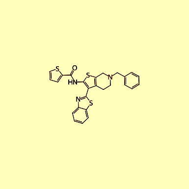 O=C(Nc1sc2c(c1-c1nc3ccccc3s1)CCN(Cc1ccccc1)C2)c1cccs1